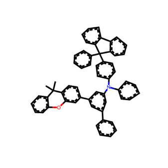 CC1(C)c2ccccc2Oc2cc(-c3cc(-c4ccccc4)cc(N(c4ccccc4)c4ccc(C5(c6ccccc6)c6ccccc6-c6ccccc65)cc4)c3)ccc21